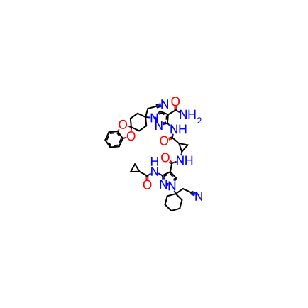 N#CCC1(n2cc(C(N)=O)c(NC(=O)C3CC3NC(=O)c3cn(C4(CC#N)CCCCC4)nc3NC(=O)C3CC3)n2)CCC2(CC1)Oc1ccccc1O2